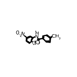 Cc1ccc(C(=O)Nc2cc([N+](=O)[O-])ccc2Cl)cc1